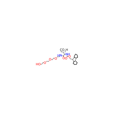 O=C(O)CCC(NC(=O)OCC1c2ccccc2-c2ccccc21)C(=O)NCCOCCOCCOCCO